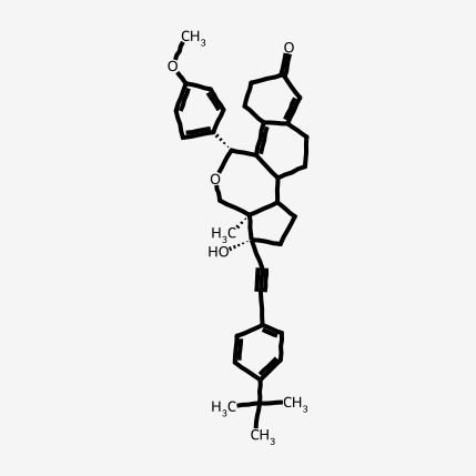 COc1ccc([C@H]2OC[C@@]3(C)C(CC[C@@]3(O)C#Cc3ccc(C(C)(C)C)cc3)C3CCC4=CC(=O)CCC4=C32)cc1